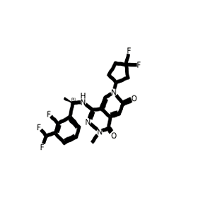 C[C@@H](Nc1nn(C)c(=O)c2cc(=O)n(C3CCC(F)(F)C3)cc12)c1cccc(C(F)F)c1F